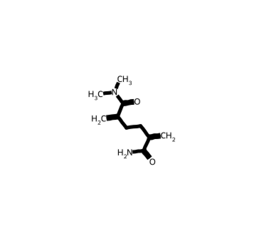 C=C(CCC(=C)C(=O)N(C)C)C(N)=O